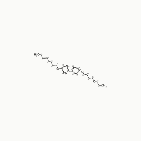 CCC=CCCCCOc1cnc(-c2ccc(OCCCCOCCC)cc2)nc1